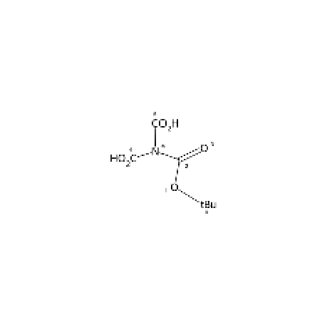 CC(C)(C)OC(=O)N(C(=O)O)C(=O)O